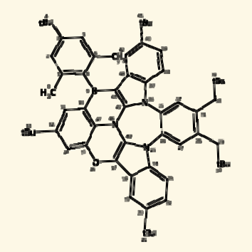 Cc1cc(C(C)(C)C)cc(C)c1B1c2cc(C(C)(C)C)cc3oc4c5cc(C(C)(C)C)ccc5n5c6cc(CC(C)(C)C)c(CC(C)(C)C)cc6n6c7ccc(C(C)(C)C)cc7c1c6n(c23)c45